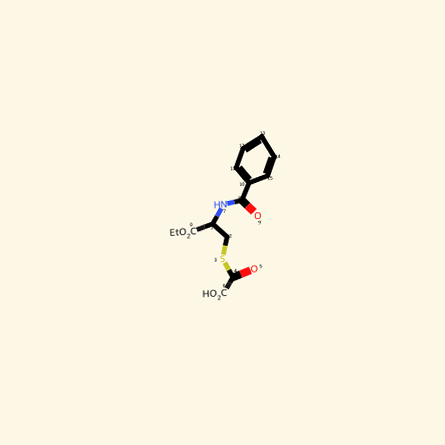 CCOC(=O)C(CSC(=O)C(=O)O)NC(=O)c1ccccc1